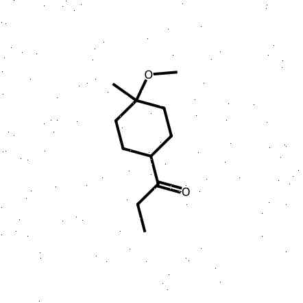 CCC(=O)C1CCC(C)(OC)CC1